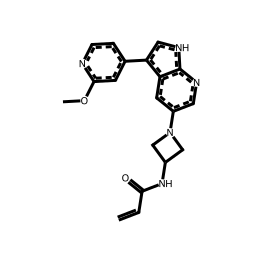 C=CC(=O)NC1CN(c2cnc3[nH]cc(-c4ccnc(OC)c4)c3c2)C1